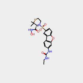 CCNC(=O)Nc1ccc2c(c1)oc1ccc(S(=O)(=O)N3CCSC(C)(C)[C@@H]3C(=O)NO)cc12